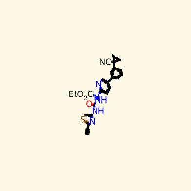 C#Cc1nc(NC(=O)NN(C(=O)OCC)c2ccc(-c3cccc(C4(C#N)CC4)c3)cn2)cs1